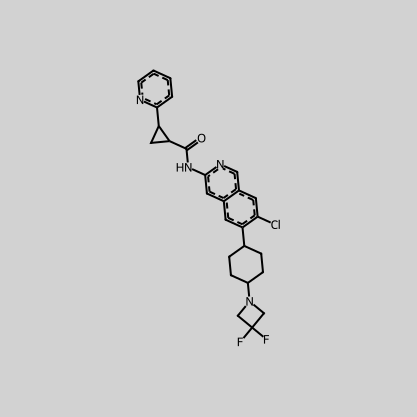 O=C(Nc1cc2cc(C3CCC(N4CC(F)(F)C4)CC3)c(Cl)cc2cn1)C1CC1c1ccccn1